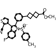 COC(=O)C1CC2(C1)CC(c1cccc(-c3c(-c4ccsc4C#N)c4cc(F)ccc4n3[S+]([O-])c3ccc(C)cc3)c1)C2